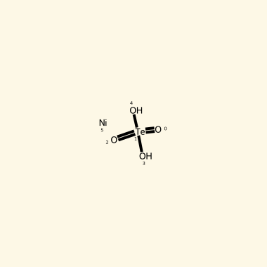 O=[Te](=O)(O)O.[Ni]